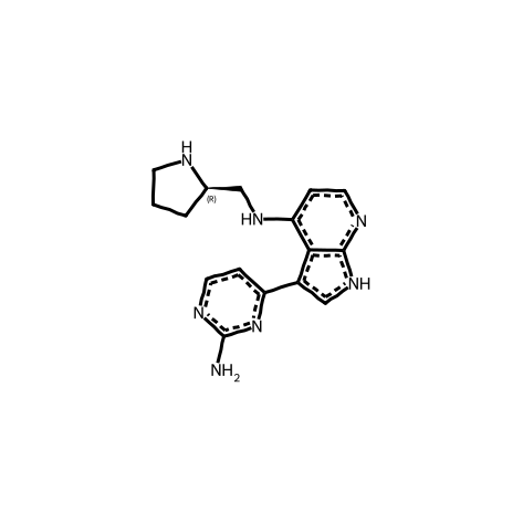 Nc1nccc(-c2c[nH]c3nccc(NC[C@H]4CCCN4)c23)n1